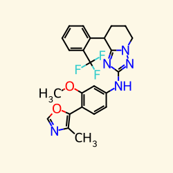 COc1cc(Nc2nc3n(n2)CCCC3c2ccccc2C(F)(F)F)ccc1-c1ocnc1C